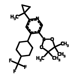 CC1(c2cc(C3CCC(C(F)(F)F)CC3)c(B3OC(C)(C)C(C)(C)O3)cn2)CC1